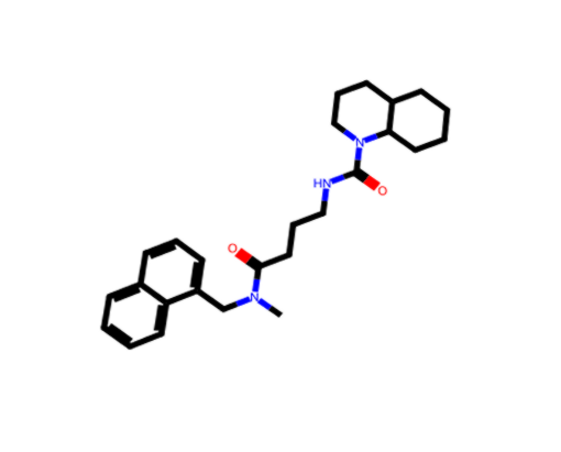 CN(Cc1cccc2ccccc12)C(=O)CCCNC(=O)N1CCCC2CCCCC21